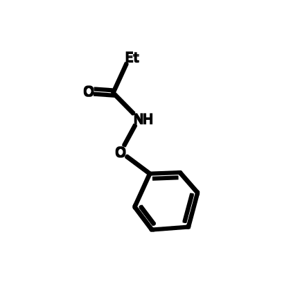 CCC(=O)NOc1ccccc1